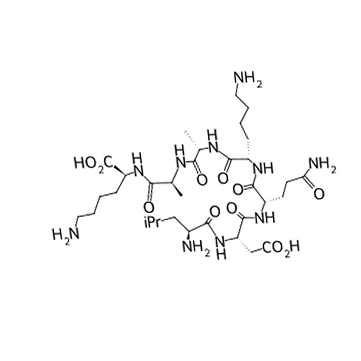 CC(C)C[C@H](N)C(=O)N[C@@H](CC(=O)O)C(=O)N[C@@H](CCC(N)=O)C(=O)N[C@@H](CCCCN)C(=O)N[C@@H](C)C(=O)N[C@@H](C)C(=O)N[C@@H](CCCCN)C(=O)O